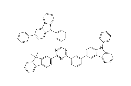 CC1(C)c2ccccc2-c2ccc(-c3nc(-c4cccc(-c5ccc6c(c5)c5ccccc5n6-c5ccccc5)c4)nc(-c4cccc(-n5c6ccccc6c6cc(-c7ccccc7)ccc65)c4)n3)cc21